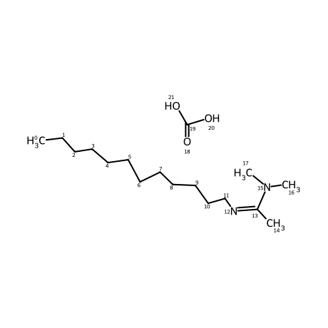 CCCCCCCCCCCCN=C(C)N(C)C.O=C(O)O